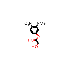 CNc1cc(OC(O)CO)ccc1[N+](=O)[O-]